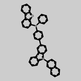 c1ccc(N(c2ccc(-c3ccc4c(c3)c3ccccc3n4-c3ccc4ccccc4c3)cc2)c2cccc3c2oc2ccccc23)cc1